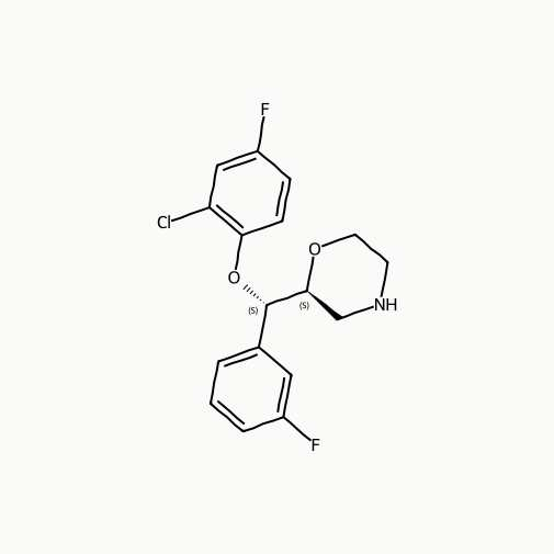 Fc1cccc([C@H](Oc2ccc(F)cc2Cl)[C@@H]2CNCCO2)c1